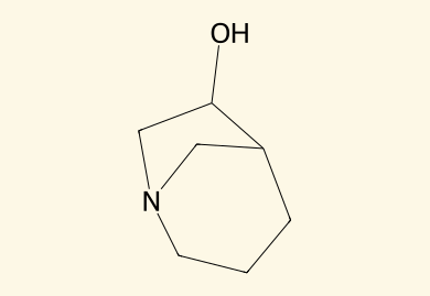 OC1CN2CCCC1C2